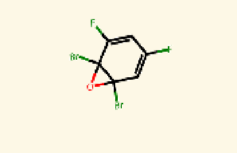 FC1=CC2(Br)OC2(Br)C(F)=C1